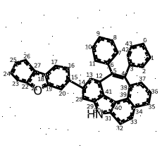 c1ccc(C2=C(c3ccccc3)c3cc(-c4ccc5c(c4)oc4ccccc45)cc4[nH]c5ccc6cccc2c6c5c34)cc1